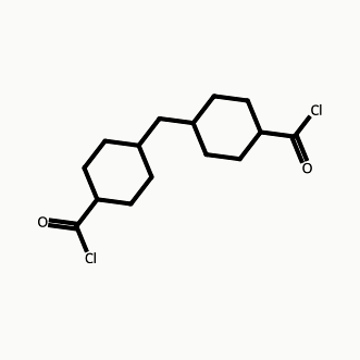 O=C(Cl)C1CCC(CC2CCC(C(=O)Cl)CC2)CC1